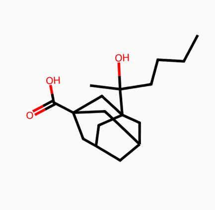 CCCCC(C)(O)C12CC3CC(CC(C(=O)O)(C3)C1)C2